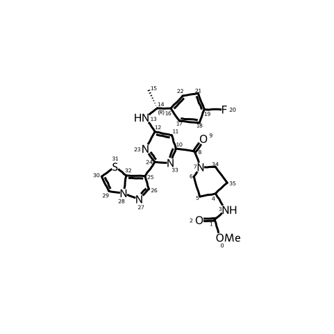 COC(=O)NC1CCN(C(=O)c2cc(N[C@H](C)c3ccc(F)cc3)nc(-c3cnn4ccsc34)n2)CC1